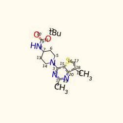 Cc1nc(N2CCC(NC(=O)OC(C)(C)C)CC2)c2scc(C)c2n1